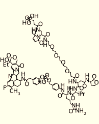 CC[C@@]1(O)C(=O)OCc2c1cc1n(c2=O)Cc2c-1nc1cc(F)c(C)c3c1c2[C@@H](NC(=O)Cc1cccc(OP(=O)(O)OCc2ccc(NC(=O)[C@H](CCCNC(N)=O)NC(=O)[C@@H](NC(=O)[C@H](CC(=O)N[C@H]4CCOC4=O)NC(=O)CCOCCOCCOCCOCCNC(=O)[C@H](CNC(=O)CCP(=O)(O)O)N4C(=O)C=CC4=O)C(C)C)cc2)c1)CC3